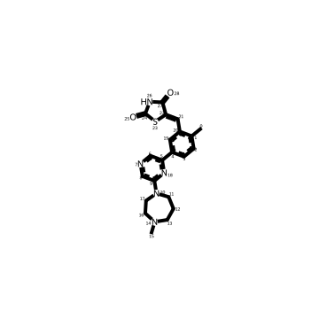 Cc1ccc(-c2cncc(N3CCCN(C)CC3)n2)cc1C=C1SC(=O)NC1=O